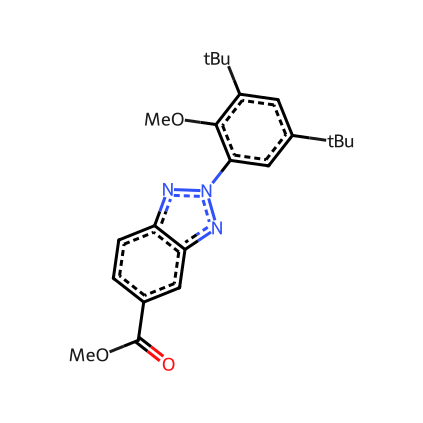 COC(=O)c1ccc2nn(-c3cc(C(C)(C)C)cc(C(C)(C)C)c3OC)nc2c1